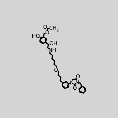 CC(=O)OCc1cc([C@@H](O)CNCCCCCCOCCCCc2cccc(N3CC(=O)N(Cc4ccccc4)C3=O)c2)ccc1O